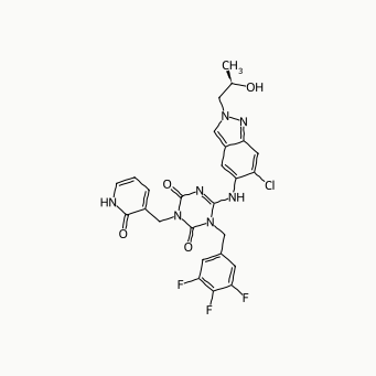 C[C@@H](O)Cn1cc2cc(Nc3nc(=O)n(Cc4ccc[nH]c4=O)c(=O)n3Cc3cc(F)c(F)c(F)c3)c(Cl)cc2n1